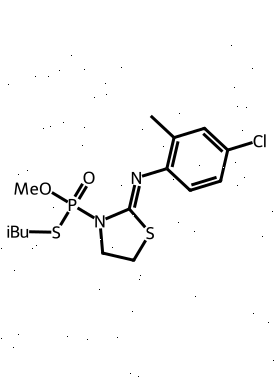 CCC(C)SP(=O)(OC)N1CCSC1=Nc1ccc(Cl)cc1C